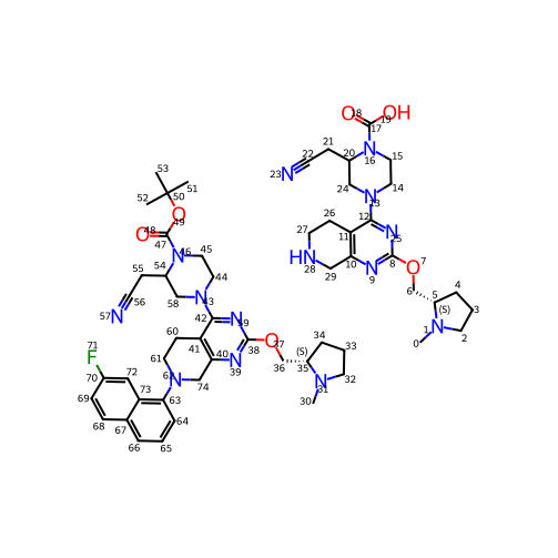 CN1CCC[C@H]1COc1nc2c(c(N3CCN(C(=O)O)C(CC#N)C3)n1)CCNC2.CN1CCC[C@H]1COc1nc2c(c(N3CCN(C(=O)OC(C)(C)C)C(CC#N)C3)n1)CCN(c1cccc3ccc(F)cc13)C2